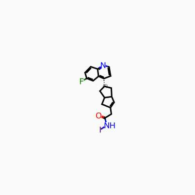 O=C(CC1=CC2C[C@@H](c3ccnc4ccc(F)cc34)CC2C1)NI